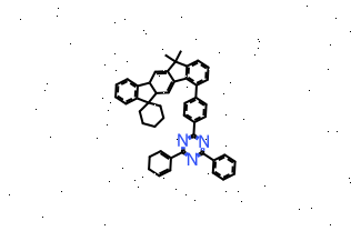 CC1(C)C2=CC3c4ccccc4C4(CCCCC4)C3C=C2c2c(-c3ccc(-c4nc(C5=CCCC=C5)nc(-c5ccccc5)n4)cc3)cccc21